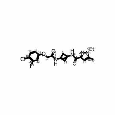 CCn1nc(C(=O)NC23CC(NC(=O)COc4ccc(Cl)c(F)c4)(C2)C3)cc1C